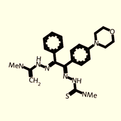 C=C(NC)N/N=C(/C(=N/NC(=S)NC)c1ccc(N2CCOCC2)cc1)c1ccccc1